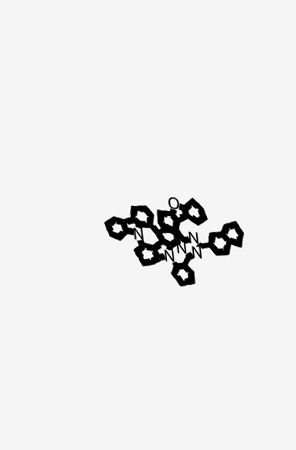 c1ccc(-n2c3cccc4c5cccc6c7ccccc7n(c7cccc2c7c43)c56)c(-c2nc(-c3ccc4ccccc4c3)nc(-c3cccc4oc5ccccc5c34)n2)c1